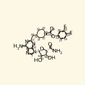 NC(=O)[C@H]1O[C@@H](n2cnc3c(N)nc(CC4CCN(C(=O)Oc5ccc(F)c(F)c5)CC4)nc32)C(O)C1O